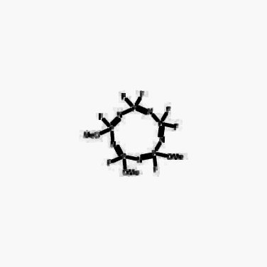 COP1(F)=NP(F)(F)=NP(F)(F)=NP(F)(OC)=NP(F)(OC)=N1